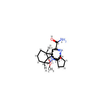 CO[C@]1(c2ccnc(C(N)=O)c2)[C@@H]2CCC[C@H]1CN(C1CCCC1)C2